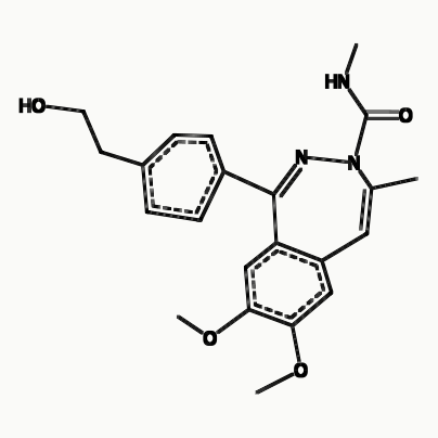 CNC(=O)N1N=C(c2ccc(CCO)cc2)c2cc(OC)c(OC)cc2C=C1C